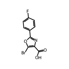 O=C(O)c1nc(-c2ccc(F)cc2)oc1Br